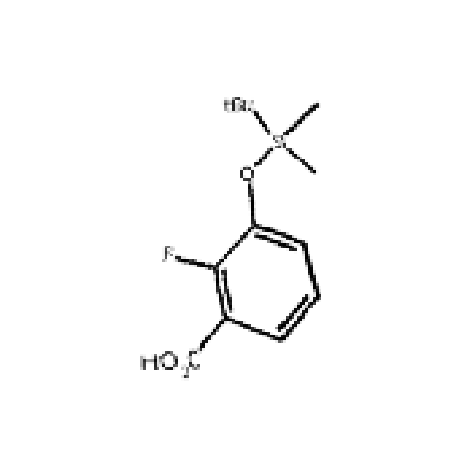 CC(C)(C)[Si](C)(C)Oc1cccc(C(=O)O)c1F